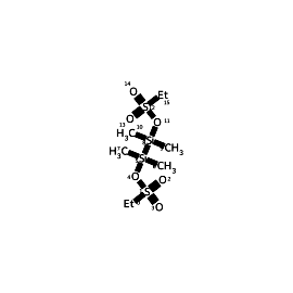 CCS(=O)(=O)O[Si](C)(C)[Si](C)(C)OS(=O)(=O)CC